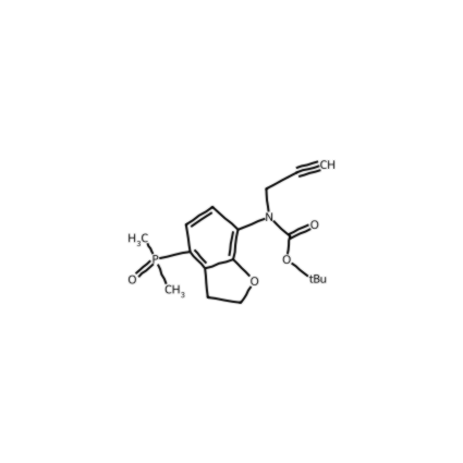 C#CCN(C(=O)OC(C)(C)C)c1ccc(P(C)(C)=O)c2c1OCC2